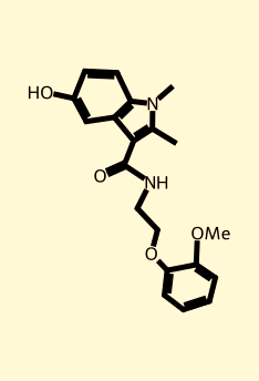 COc1ccccc1OCCNC(=O)c1c(C)n(C)c2ccc(O)cc12